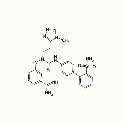 Cn1nnnc1CCN(Nc1cccc(C(=N)N)c1)C(=O)Nc1ccc(-c2ccccc2S(N)(=O)=O)cc1